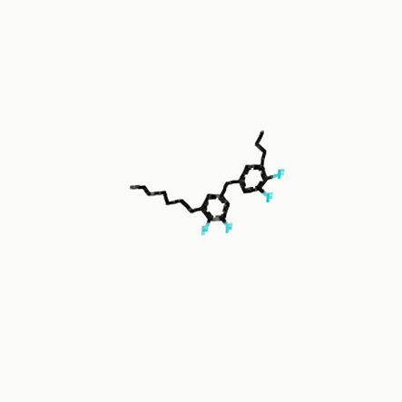 CCCCCCCc1cc(Cc2cc(F)c(F)c(CCC)c2)cc(F)c1F